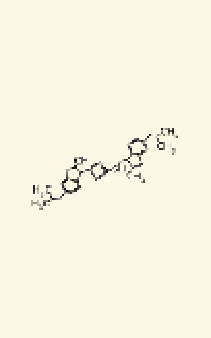 CC1=Cc2cc(CC(C)C)ccc2C1C[SiH2]c1ccc(C2C(C)=Cc3cc(CC(C)C)ccc32)cc1